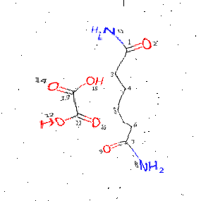 NC(=O)CCCCC(N)=O.O=C(O)C(=O)O